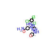 C[C@@H]1COCC[C@H]1Nc1ncc2nc(Nc3c(Cl)cc(Cl)cc3Cl)n(C3CCC(C(N)=O)CC3)c2n1